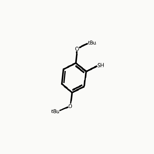 CC(C)(C)Oc1ccc(OC(C)(C)C)c(S)c1